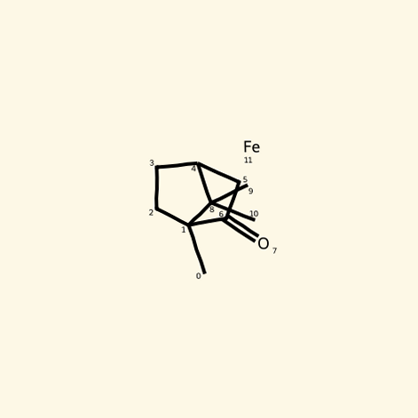 CC12CCC(CC1=O)C2(C)C.[Fe]